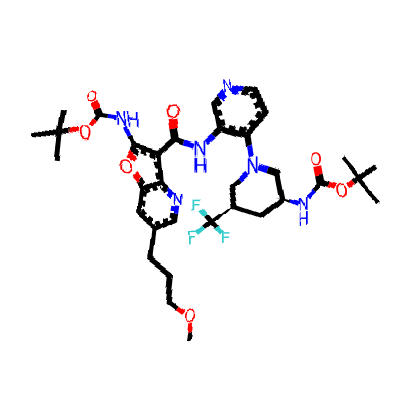 COCCCc1cnc2c(C(=O)Nc3cnccc3N3C[C@@H](NC(=O)OC(C)(C)C)C[C@@H](C(F)(F)F)C3)c(NC(=O)OC(C)(C)C)oc2c1